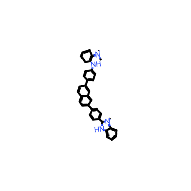 CN(C)C1=C(Nc2ccc(-c3ccc4ccc(-c5ccc(C6Nc7ccccc7N6C)cc5)cc4c3)cc2)CCC=C1